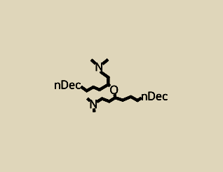 CCCCCCCCCCCCCC(CCN(C)C)OC(CCCCCCCCCCCCC)CCN(C)C